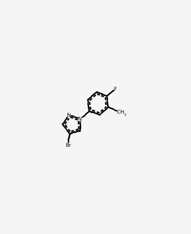 Cc1cc(-n2cc(Br)cn2)ccc1F